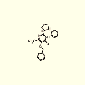 O=C(O)c1nc([C@@H]2CCC[C@@H]2c2ccccc2)[nH]c(=O)c1OCc1ccccc1